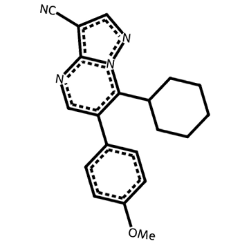 COc1ccc(-c2cnc3c(C#N)cnn3c2C2CCCCC2)cc1